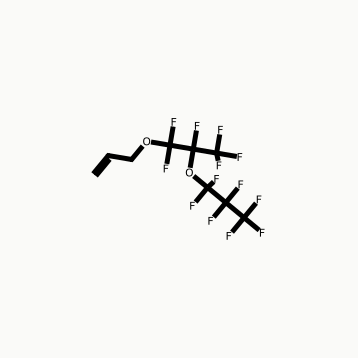 C=CCOC(F)(F)C(F)(OC(F)(F)C(F)(F)C(F)(F)F)C(F)(F)F